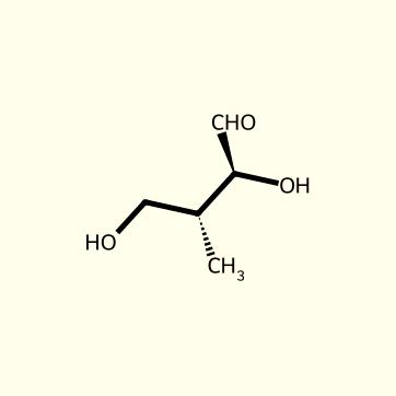 C[C@H](CO)[C@H](O)C=O